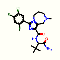 CN1CCCn2c(-c3cc(Cl)c(F)cc3F)nc(C(=O)NC(C(N)=O)C(C)(C)C)c2C1